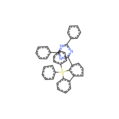 c1ccc(-c2nc(-c3ccccc3)nc(-c3cccc4c3S(c3ccccc3)(c3ccccc3)c3ccccc3-4)n2)cc1